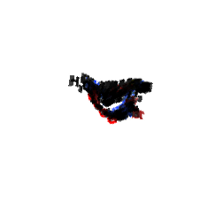 CC[C@H](C)[C@@H]([C@@H](CC(=O)N1CCC[C@H]1[C@H](OC)[C@@H](C)C(=O)N[C@@H](Cc1ccccc1)c1nccs1)OC)N(C)C(=O)[C@@H](NC(=O)C(C(C)C)N(C)CCOCCOCCOCCNC(=O)c1ccc2nc(CBr)c(CBr)nc2c1)C(C)C